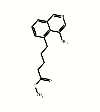 COC(=O)CCCCc1cccc2cncc(N)c12